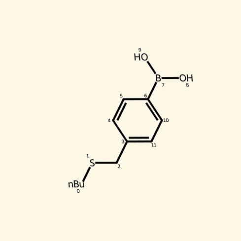 CCCCSCc1ccc(B(O)O)cc1